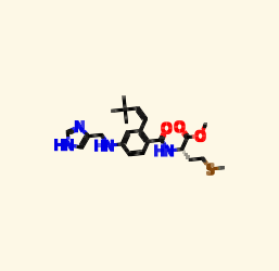 COC(=O)[C@H](CCSC)NC(=O)c1ccc(NCc2c[nH]cn2)cc1/C=C\C(C)(C)C